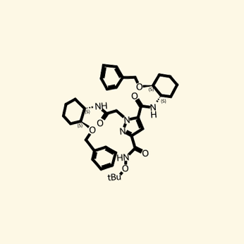 CC(C)(C)ONC(=O)c1cc(C(=O)N[C@H]2CCCC[C@@H]2OCc2ccccc2)n(CC(=O)N[C@H]2CCCC[C@@H]2OCc2ccccc2)n1